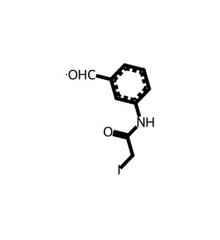 O=[C]c1cccc(NC(=O)CI)c1